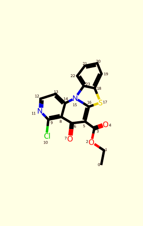 CCOC(=O)c1c(=O)c2c(Cl)nccc2n2c1sc1ccccc12